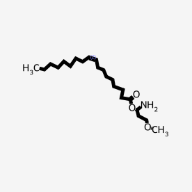 CCCCCCCC/C=C\CCCCCCCC(=O)OC(N)CCOC